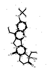 CCc1c2c(nc3ccc(OC(C)(C)C)cc13)-c1cc3c(c(=O)n1C2)CCC(=O)[C@@]3(O)CC